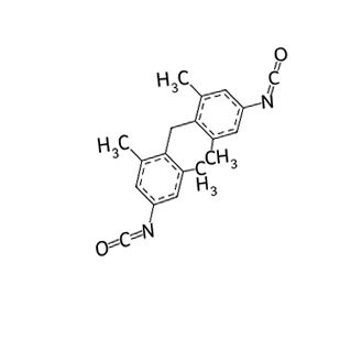 Cc1cc(N=C=O)cc(C)c1Cc1c(C)cc(N=C=O)cc1C